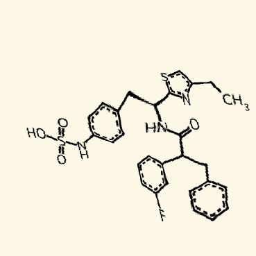 CCc1csc([C@H](Cc2ccc(NS(=O)(=O)O)cc2)NC(=O)C(Cc2ccccc2)c2cccc(F)c2)n1